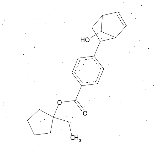 CCC1(OC(=O)c2ccc(C3CC4C=CC3C4O)cc2)CCCC1